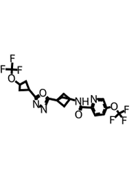 O=C(NC12CC(c3nnc(C4CC(OC(F)(F)F)C4)o3)(C1)C2)c1ccc(OC(F)(F)F)cn1